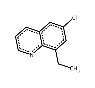 CCc1cc(Cl)cc2cccnc12